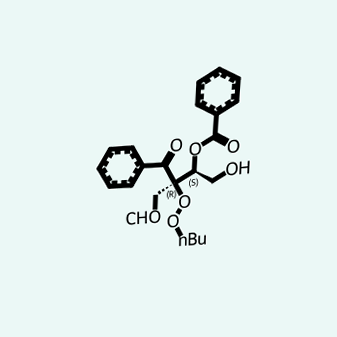 CCCCOO[C@@](CC=O)(C(=O)c1ccccc1)[C@H](CO)OC(=O)c1ccccc1